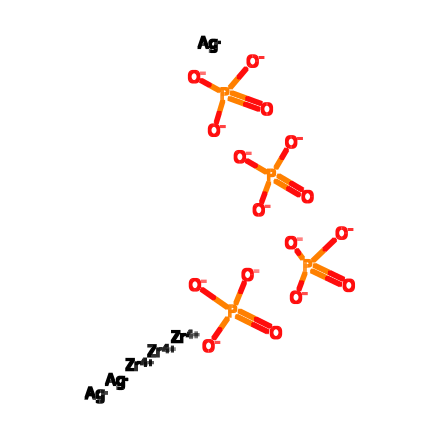 O=P([O-])([O-])[O-].O=P([O-])([O-])[O-].O=P([O-])([O-])[O-].O=P([O-])([O-])[O-].[Ag].[Ag].[Ag].[Zr+4].[Zr+4].[Zr+4]